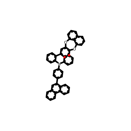 c1ccc(N(c2ccc(-c3cc4ccccc4c4ccccc34)cc2)c2ccccc2-c2ccc3c(c2)Oc2cccc4cccc(c24)O3)cc1